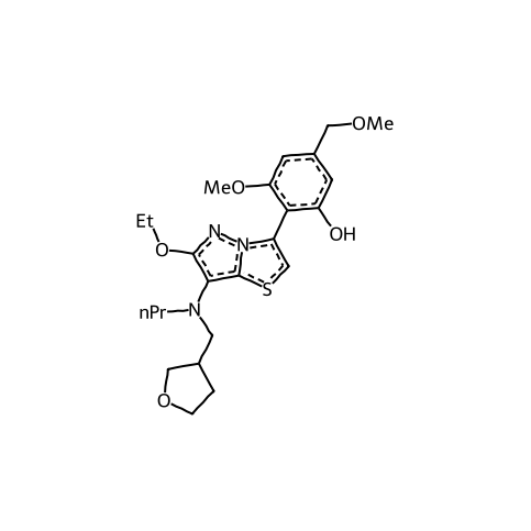 CCCN(CC1CCOC1)c1c(OCC)nn2c(-c3c(O)cc(COC)cc3OC)csc12